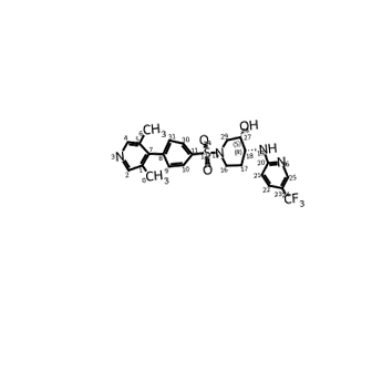 Cc1cncc(C)c1-c1ccc(S(=O)(=O)N2CC[C@@H](Nc3ccc(C(F)(F)F)cn3)[C@@H](O)C2)cc1